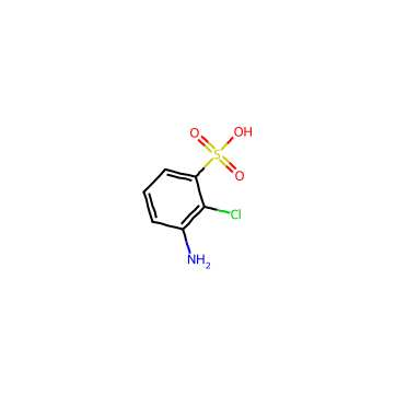 Nc1cccc(S(=O)(=O)O)c1Cl